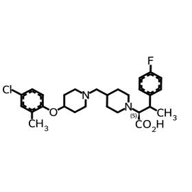 Cc1cc(Cl)ccc1OC1CCN(CC2CCN([C@H](C(=O)O)C(C)c3ccc(F)cc3)CC2)CC1